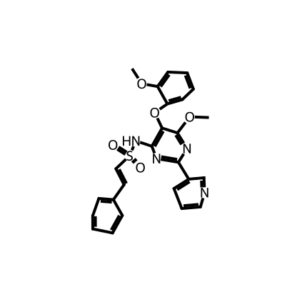 COc1ccccc1Oc1c(NS(=O)(=O)C=Cc2ccccc2)nc(-c2cccnc2)nc1OC